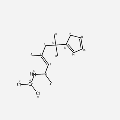 CC(=CC(C)[NH][Cr]([Cl])[Cl])CC(C)(C)C1=CC=CC1